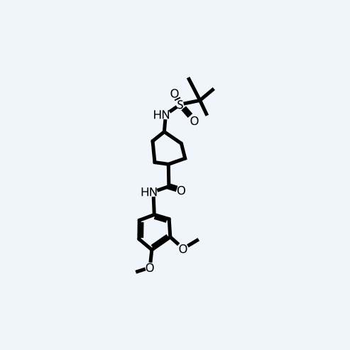 COc1ccc(NC(=O)C2CCC(NS(=O)(=O)C(C)(C)C)CC2)cc1OC